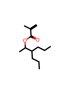 C=C(C)C(=O)OC(C)C(CCC)CCC